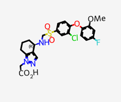 COc1cc(F)ccc1Oc1ccc(S(=O)(=O)CN[C@@H]2CCCc3c2cnn3CC(=O)O)cc1Cl